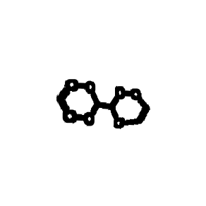 C1COC(C2OOCOO2)OO1